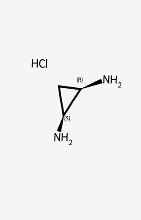 Cl.N[C@@H]1C[C@@H]1N